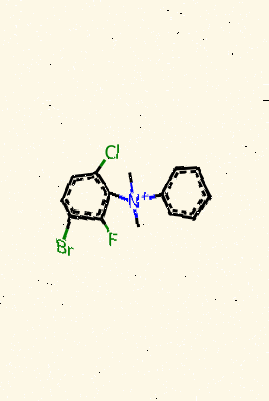 C[N+](C)(c1ccccc1)c1c(Cl)ccc(Br)c1F